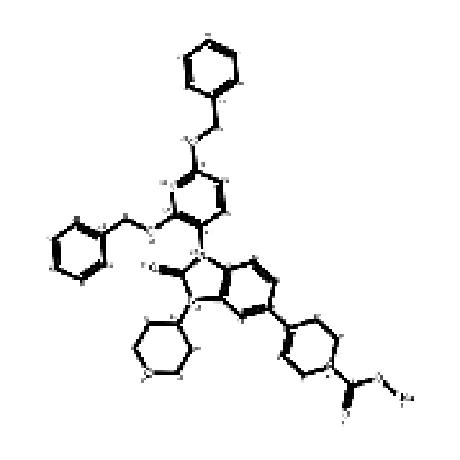 CC(C)(C)OC(=O)N1CC=C(c2ccc3c(c2)n(C2CCOCC2)c(=O)n3-c2ccc(OCc3ccccc3)nc2OCc2ccccc2)CC1